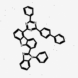 c1ccc(-c2ccc(-c3nc(-c4ccccc4)nc(-c4cccc5sc6c(-c7nc8ccccc8n7-c7ccccc7)cccc6c45)n3)cc2)cc1